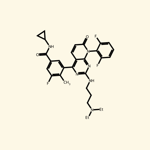 CCN(CC)CCCNc1nc(-c2cc(C(=O)NC3CC3)cc(F)c2C)c2ccc(=O)n(-c3c(F)cccc3F)c2n1